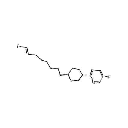 FC=CCCCCCC[C@H]1CC[C@H](c2ccc(F)cc2)CC1